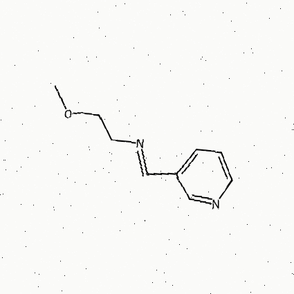 COCCN=Cc1cccnc1